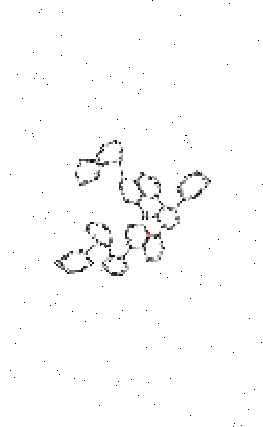 c1ccc(-c2ccccc2-c2ccccc2-c2ccc(N(c3ccc(-c4cccc5ccccc45)cc3)c3c(-c4ccccc4)ccc(-c4ccccc4)c3-c3ccccc3)cc2)cc1